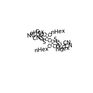 CCCCCCc1ccc(C2(c3ccc(CCCCCC)cc3)c3cc4c(cc3-c3sc5cc(C=C6C(=O)c7ccccc7C6=C(C#N)C#N)sc5c32)C(c2ccc(CCCCCC)cc2)(c2ccc(CCCCCC)cc2)c2c-4sc3cc(C=C4C(=O)c5ccccc5C4=C(C#N)C#N)sc23)cc1